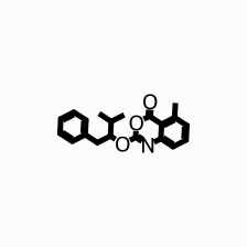 Cc1cccc2nc(OC(Cc3ccccc3)C(C)C)oc(=O)c12